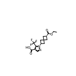 CCOC(=O)[C@H]1CC2(C1)C[C@H](n1ncc(C(=O)O)c1C(F)(F)F)C2